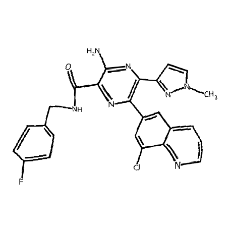 Cn1ccc(-c2nc(N)c(C(=O)NCc3ccc(F)cc3)nc2-c2cc(Cl)c3ncccc3c2)n1